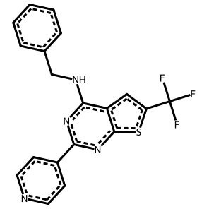 FC(F)(F)c1cc2c(NCc3ccccc3)nc(-c3ccncc3)nc2s1